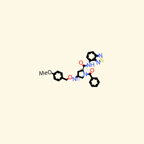 COc1ccc(CO/N=C2\C[C@@H](C(=O)Nc3cccc4nsnc34)N(C(=O)c3ccccc3)C2)cc1